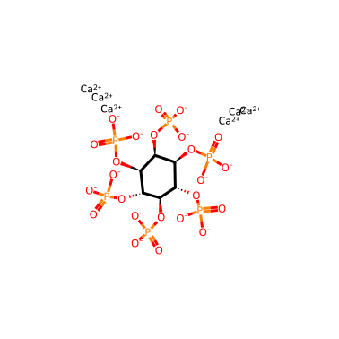 O=P([O-])([O-])O[C@H]1[C@H](OP(=O)([O-])[O-])[C@@H](OP(=O)([O-])[O-])[C@H](OP(=O)([O-])[O-])[C@@H](OP(=O)([O-])[O-])[C@H]1OP(=O)([O-])[O-].[Ca+2].[Ca+2].[Ca+2].[Ca+2].[Ca+2].[Ca+2]